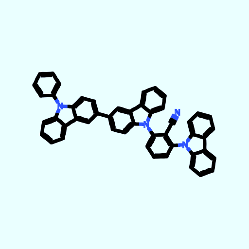 N#Cc1c(-n2c3ccccc3c3ccccc32)cccc1-n1c2ccccc2c2cc(-c3ccc4c(c3)c3ccccc3n4-c3ccccc3)ccc21